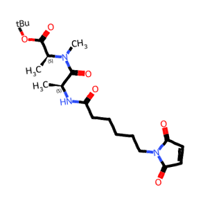 C[C@H](NC(=O)CCCCCN1C(=O)C=CC1=O)C(=O)N(C)[C@@H](C)C(=O)OC(C)(C)C